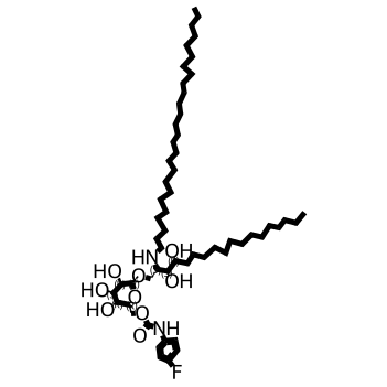 CCCCCCCCCCCCCCCCCCCCCCCCCCN[C@@H](CO[C@@H]1O[C@H](COC(=O)Nc2ccc(F)cc2)[C@H](O)[C@H](O)[C@H]1O)[C@H](O)[C@H](O)CCCCCCCCCCCCCC